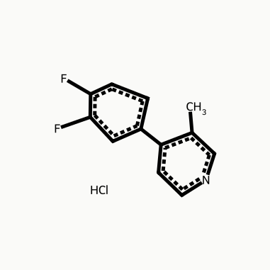 Cc1cnccc1-c1ccc(F)c(F)c1.Cl